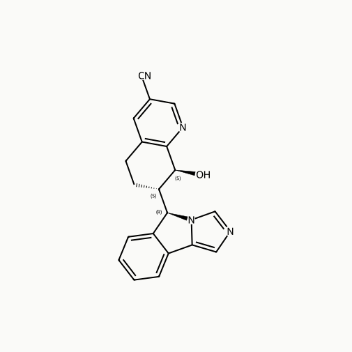 N#Cc1cnc2c(c1)CC[C@@H]([C@@H]1c3ccccc3-c3cncn31)[C@@H]2O